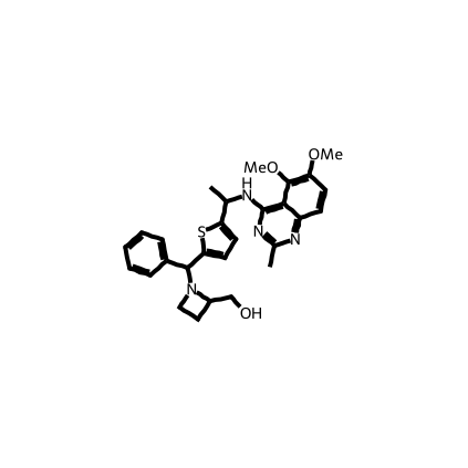 COc1ccc2nc(C)nc(NC(C)c3ccc(C(c4ccccc4)N4CCC4CO)s3)c2c1OC